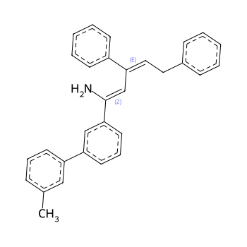 Cc1cccc(-c2cccc(/C(N)=C/C(=C\Cc3ccccc3)c3ccccc3)c2)c1